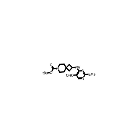 CSc1ncc(C=O)c(NC2CC3(CCN(C(=O)OC(C)(C)C)CC3)C2)n1